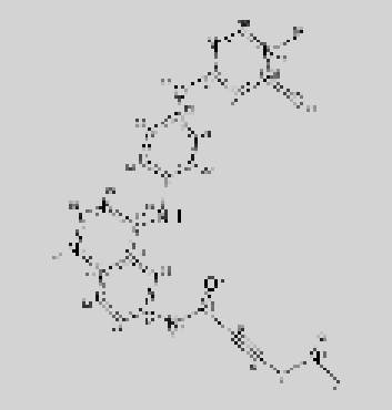 CN(C)CC#CC(=O)N(C)c1ccc2ncnc(Nc3ccc(Oc4cc(=O)n(C)cn4)cc3)c2c1